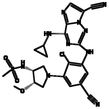 CO[C@H]1CN(c2cc(C#N)cc(Nc3nc(NC4CC4)c4ncc(C#N)n4n3)c2Cl)C[C@H]1NS(C)(=O)=O